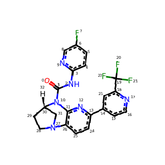 O=C(Nc1ccc(F)cn1)N1c2nc(-c3ccnc(C(F)(F)F)c3)ccc2N2CC[C@H]1C2